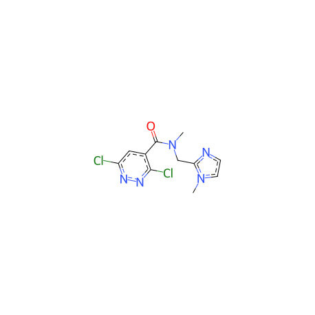 CN(Cc1nccn1C)C(=O)c1cc(Cl)nnc1Cl